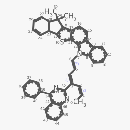 C\C=C/C(=C\C=C\n1c2ccccc2c2ccc3c4c(sc3c21)C1C=CC=CC1C4(C)C)c1nc(-c2ccccc2)c2ccccc2n1